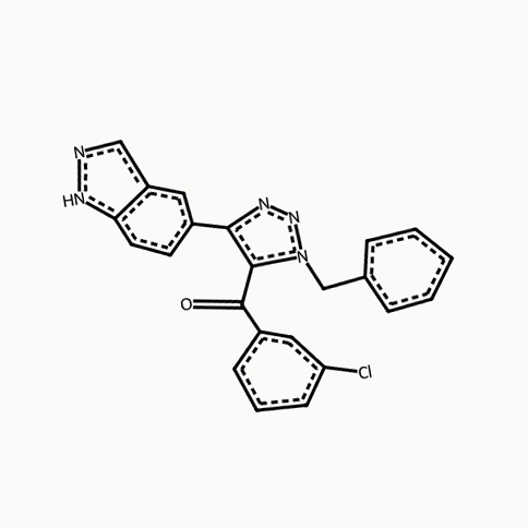 O=C(c1cccc(Cl)c1)c1c(-c2ccc3[nH]ncc3c2)nnn1Cc1ccccc1